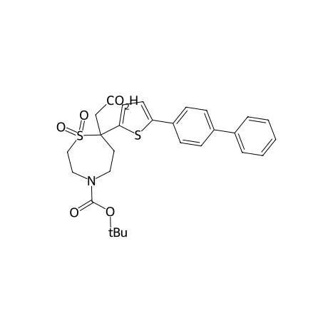 CC(C)(C)OC(=O)N1CCC(CC(=O)O)(c2ccc(-c3ccc(-c4ccccc4)cc3)s2)S(=O)(=O)CC1